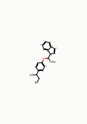 CCC(C)CC(c1ccc(OC(OC)C2C=Cc3ccccc32)cc1)C(C)C